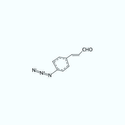 [N-]=[N+]=Nc1ccc(C=CC=O)cc1